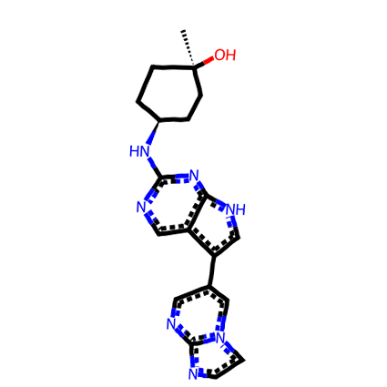 C[C@]1(O)CC[C@@H](Nc2ncc3c(-c4cnc5nccn5c4)c[nH]c3n2)CC1